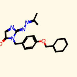 CC(C)=NN=C1N=CC(=O)N1Cc1ccc(OCC2CCCCC2)cc1